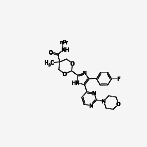 CCCNC(=O)C1(C)COC(c2nc(-c3ccc(F)cc3)c(-c3ccnc(N4CCOCC4)n3)[nH]2)OC1